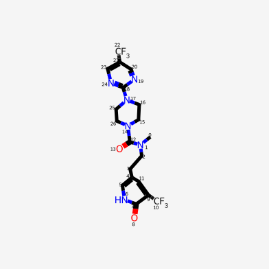 CN(CCc1c[nH]c(=O)c(C(F)(F)F)c1)C(=O)N1CCN(c2ncc(C(F)(F)F)cn2)CC1